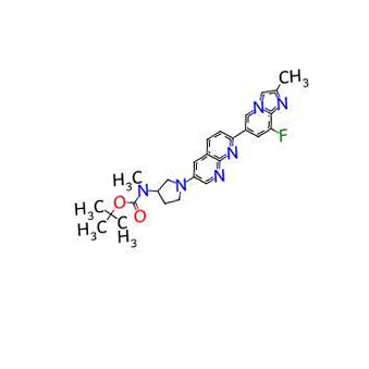 Cc1cn2cc(-c3ccc4cc(N5CCC(N(C)C(=O)OC(C)(C)C)C5)cnc4n3)cc(F)c2n1